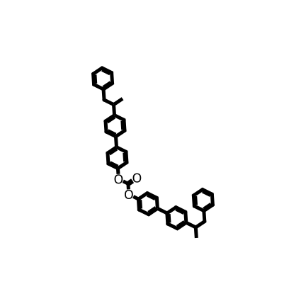 CC(Cc1ccccc1)c1ccc(-c2ccc(OC(=O)Oc3ccc(-c4ccc(C(C)Cc5ccccc5)cc4)cc3)cc2)cc1